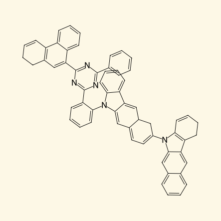 C1=Cc2c(cc(-c3nc(-c4ccccc4)nc(-c4ccccc4-n4c5c(c6ccccc64)=CC4CC(n6c7c(c8cc9ccccc9cc86)CCC=C7)=CC=C4C=5)n3)c3ccccc23)CC1